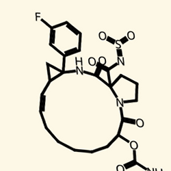 NC(=O)OC1CCCCCC=CC2CC2(c2cccc(F)c2)NC(=O)C2(C(=O)N=S(=O)=O)CCCN2C1=O